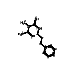 CN(C(=N)N)C(=N)NCCCc1ccccc1